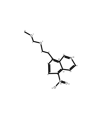 COCOCCc1ccc([N+](=O)[O-])c2ccncc12